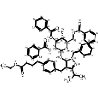 CCOC(=O)CCCc1ccc(Cc2c(C(C)C)nn(Cc3ccccc3)c2O[C@@H]2O[C@H](COC(=O)c3ccccc3)[C@@H](F)[C@H](OC(=O)c3ccccc3)[C@H]2OC(=O)c2ccccc2)cc1